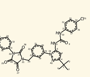 CC(C)(C)c1cc(NC(=O)Nc2ccc(Cl)cc2)n(-c2cccc(CN3C(=O)C(=O)N(c4ccccc4)C3=O)c2)n1